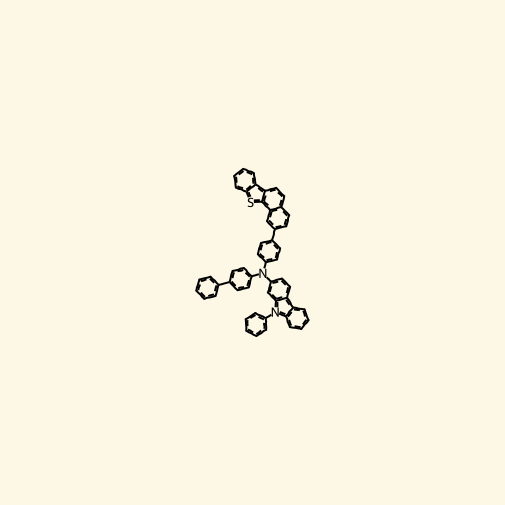 c1ccc(-c2ccc(N(c3ccc(-c4ccc5ccc6c7ccccc7sc6c5c4)cc3)c3ccc4c5ccccc5n(-c5ccccc5)c4c3)cc2)cc1